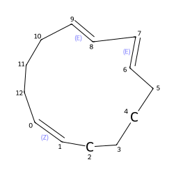 C1=C\CCCC/C=C/C=C/CCC/1